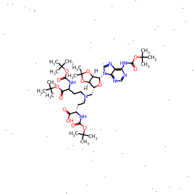 CC(C)(C)OC(=O)Nc1ncnc2c1ncn2[C@@H]1O[C@H](CN(CCC(NC(=O)OC(C)(C)C)C(=O)OC(C)(C)C)CC[C@H](NC(=O)OC(C)(C)C)C(=O)O)[C@H]2OC(C)(C)O[C@H]21